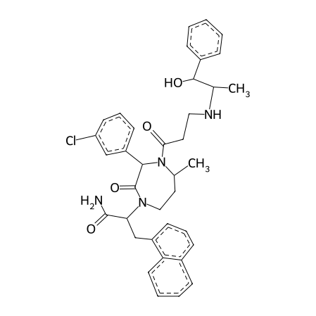 CC(NCCC(=O)N1C(C)CCN(C(Cc2cccc3ccccc23)C(N)=O)C(=O)C1c1cccc(Cl)c1)C(O)c1ccccc1